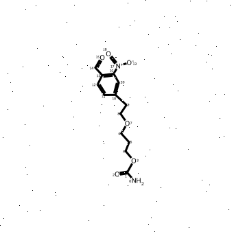 NC(=O)OCCCOCCc1ccc(C=O)c([N+](=O)[O-])c1